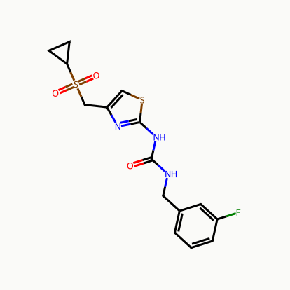 O=C(NCc1cccc(F)c1)Nc1nc(CS(=O)(=O)C2CC2)cs1